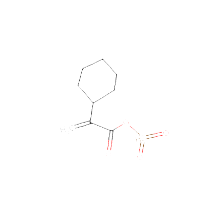 C=C(C(=O)O[SH](=O)=O)C1CCCCC1